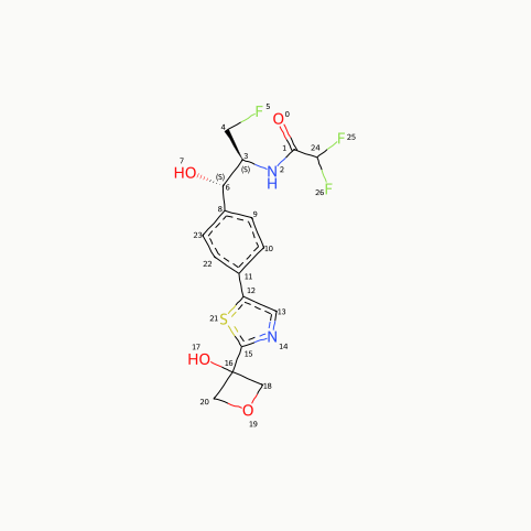 O=C(N[C@H](CF)[C@@H](O)c1ccc(-c2cnc(C3(O)COC3)s2)cc1)C(F)F